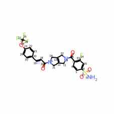 NS(=O)(=O)c1ccc(C(=O)N2CC3=C(CN(C(=O)/C=C/c4ccc(OC(F)(F)F)cc4)C3)C2)c(F)c1